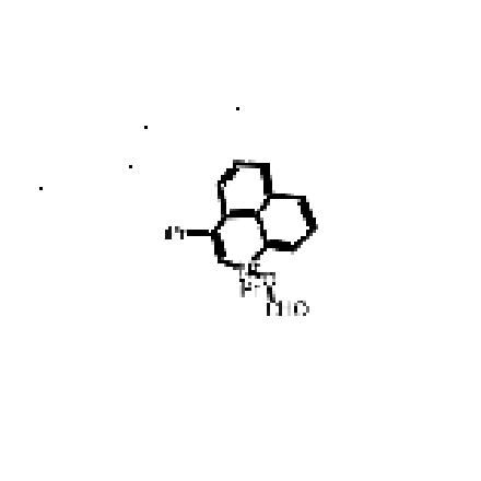 CC(C)C1=C[N+](OC=O)(C(C)C)c2cccc3cccc1c23